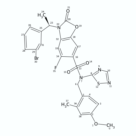 COc1ccc(CN(c2ncns2)S(=O)(=O)c2cc3oc(=O)n([C@H](C)c4cccc(Br)c4)c3cc2F)c(C)c1